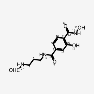 O=CNCCCNC(=O)c1ccc(C(=O)NO)c(O)c1